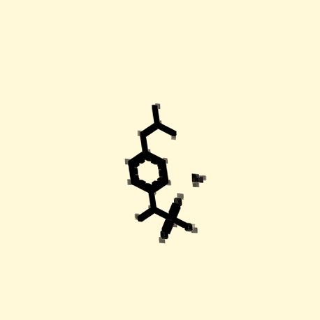 CC(C)Cc1ccc(C(C)S(=O)(=O)[O-])cc1.[Na+]